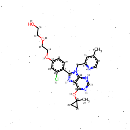 Cc1ccnc(Cn2c(-c3ccc(OCCOCCO)cc3Cl)nc3c(OC4(C)CC4)ncnc32)c1